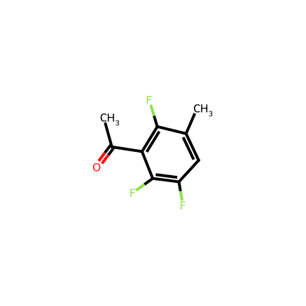 CC(=O)c1c(F)c(C)cc(F)c1F